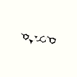 O=C(N(CC1CCN(Cc2ccccc2)CC1)[C@H]1C[C@@H]1c1ccc(I)cc1)C(F)(F)F